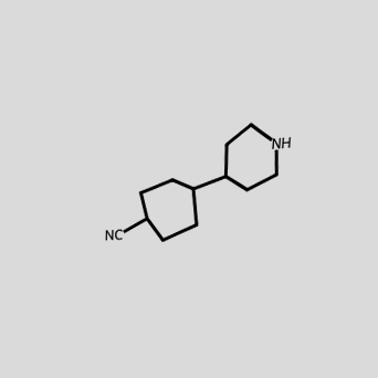 N#CC1CCC(C2CCNCC2)CC1